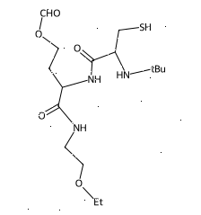 CCOCCNC(=O)C(CCOC=O)NC(=O)C(CS)NC(C)(C)C